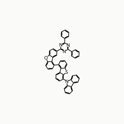 c1ccc(-c2nc(-c3ccccc3)nc(-c3ccc4oc5cccc(-c6cccc7sc8c(-n9c%10ccccc%10c%10ccccc%109)cccc8c67)c5c4c3)n2)cc1